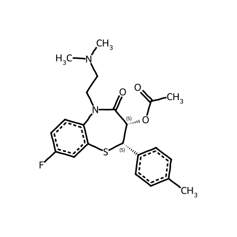 CC(=O)O[C@H]1C(=O)N(CCN(C)C)c2ccc(F)cc2S[C@H]1c1ccc(C)cc1